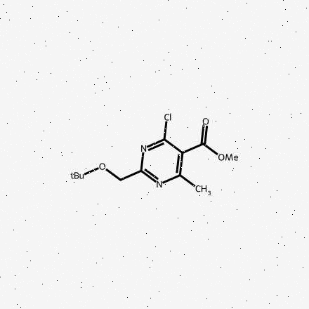 COC(=O)c1c(C)nc(COC(C)(C)C)nc1Cl